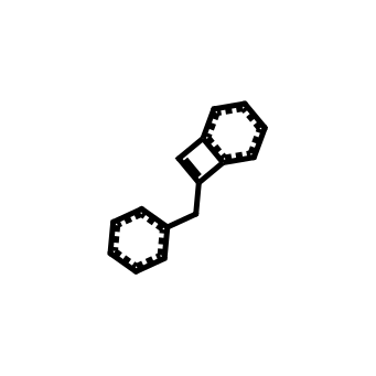 C1=C(Cc2ccccc2)c2ccccc21